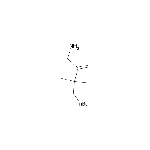 C=C(CN)C(C)(C)CCCCC